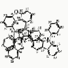 c1ccc(-c2nc(-c3ccc4c5ccccc5n(-c5ccccc5)c4c3)nc(-c3cccc4oc5cccc(-c6nc(-c7ccccc7)c7sc8ccccc8c7n6)c5c34)n2)cc1